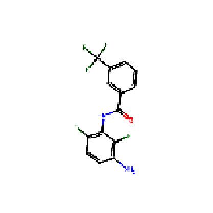 Nc1ccc(F)c(NC(=O)c2cccc(C(F)(F)F)c2)c1F